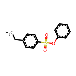 CCc1ccc(S(=O)(=O)Oc2ccccc2)cc1